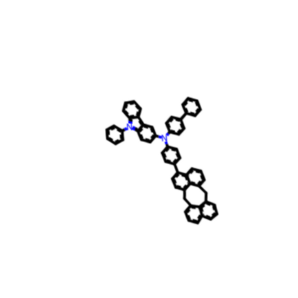 c1ccc(-c2ccc(N(c3ccc(-c4ccc5c6c(cccc46)Cc4cccc6cccc(c46)C5)cc3)c3ccc4c(c3)c3ccccc3n4-c3ccccc3)cc2)cc1